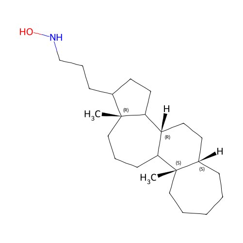 C[C@]12CCCC3[C@@H](CC[C@@H]4CCCCC[C@]34C)C1CCC2CCCNO